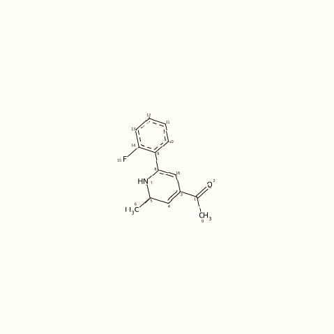 CC(=O)C1=CC(C)NC(c2ccccc2F)=C1